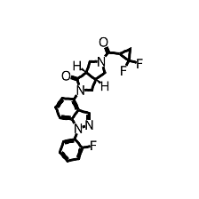 O=C(C1CC1(F)F)N1C[C@@H]2CN(c3cccc4c3cnn4-c3ccccc3F)C(=O)[C@@H]2C1